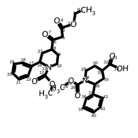 CCOC(=O)CC(=O)C1CCN(C(=O)OC)C(c2ccccc2)C1.COC(=O)N1CCC(C(=O)O)CC1c1ccccc1